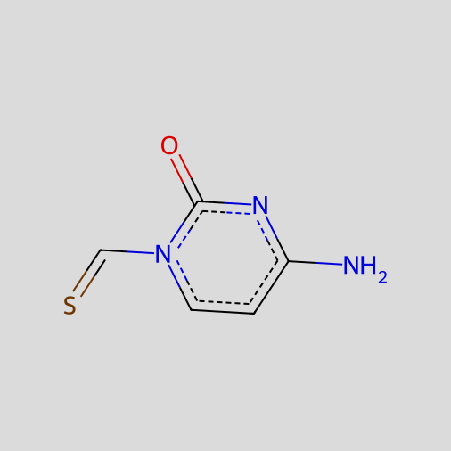 Nc1ccn(C=S)c(=O)n1